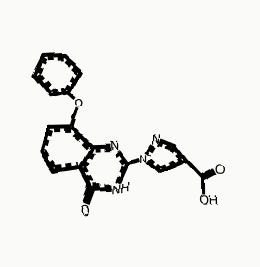 O=C(O)c1cnn(-c2nc3c(Oc4ccccc4)cccc3c(=O)[nH]2)c1